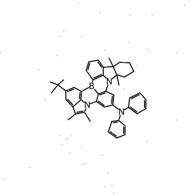 Cc1c(C)n2c3c(cc(C(C)(C)C)cc13)B1c3cccc4c3N(c3cc(N(c5ccccc5)c5ccccc5)cc-2c31)C1(C)CCCCC41C